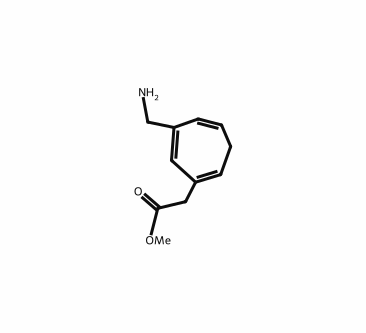 COC(=O)CC1=CCC=CC(CN)=C1